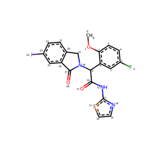 COc1ccc(F)cc1C(C(=O)Nc1nccs1)N1Cc2ccc(I)cc2C1=O